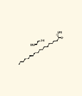 CCCCCCCCCCCCCCCCCC(=O)OO.OCCO